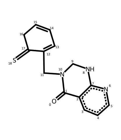 O=C1c2cccnc2NCN1CC1=CC=CCC1=S